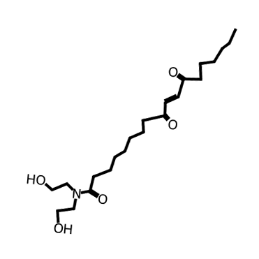 CCCCCCC(=O)/C=C/C(=O)CCCCCCCC(=O)N(CCO)CCO